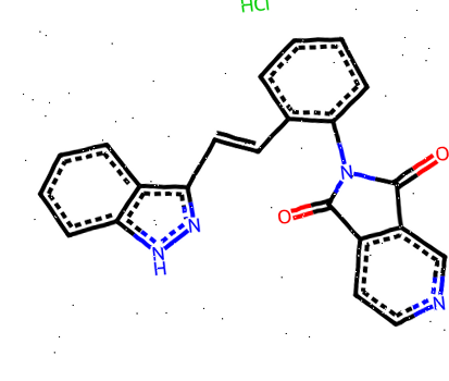 Cl.O=C1c2ccncc2C(=O)N1c1ccccc1C=Cc1n[nH]c2ccccc12